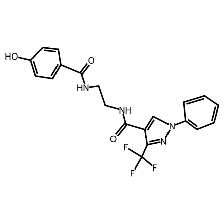 O=C(NCCNC(=O)c1cn(-c2ccccc2)nc1C(F)(F)F)c1ccc(O)cc1